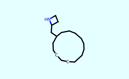 C1CCCCCCC(CC2CCN2)CCCCCC1